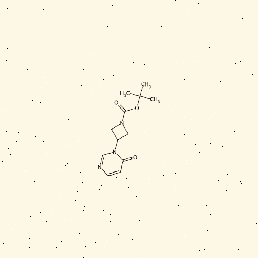 CC(C)(C)OC(=O)N1CC(n2cnccc2=O)C1